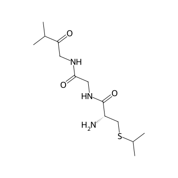 CC(C)SC[C@H](N)C(=O)NCC(=O)NCC(=O)C(C)C